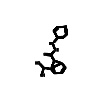 O=C(NNc1ccccc1)C1C2C=CC(C2)C1C(O)O